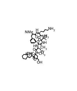 CN[C@@H](Cc1ccccc1)C(=O)N[C@@H](CCCCN)C(=O)N[C@@H](C)C(=O)N[C@@H](C)C(=O)N[C@@H](CC(C)C)C(=O)N(C)[C@]([C]=O)(CC(=O)CO)C(=O)[C@@H](N)CC1CCCCC1